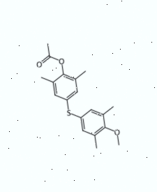 COc1c(C)cc(Sc2cc(C)c(OC(C)=O)c(C)c2)cc1C